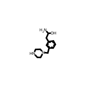 NC(O)Cc1cccc(CN2CCNCC2)c1